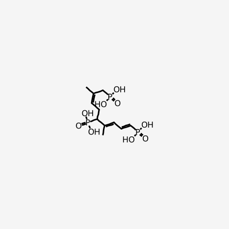 CC(=CCC(C(C)=CC=CP(=O)(O)O)P(=O)(O)O)CP(=O)(O)O